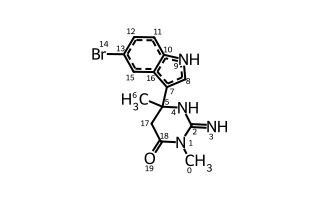 CN1C(=N)NC(C)(c2c[nH]c3ccc(Br)cc23)CC1=O